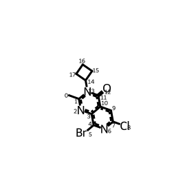 Cc1nc2c(Br)nc(Cl)cc2c(=O)n1C1CCC1